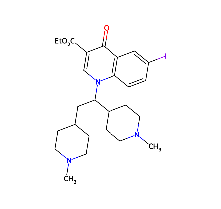 CCOC(=O)c1cn(C(CC2CCN(C)CC2)C2CCN(C)CC2)c2ccc(I)cc2c1=O